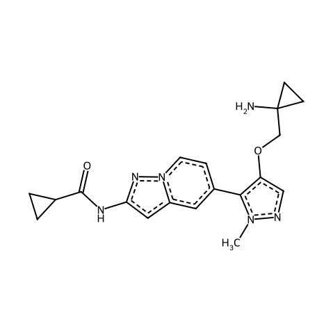 Cn1ncc(OCC2(N)CC2)c1-c1ccn2nc(NC(=O)C3CC3)cc2c1